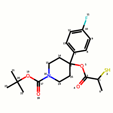 CC(S)C(=O)OC1(c2ccc(F)cc2)CCN(C(=O)OC(C)(C)C)CC1